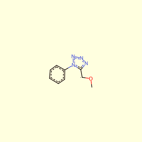 CO[CH]c1nnnn1-c1ccccc1